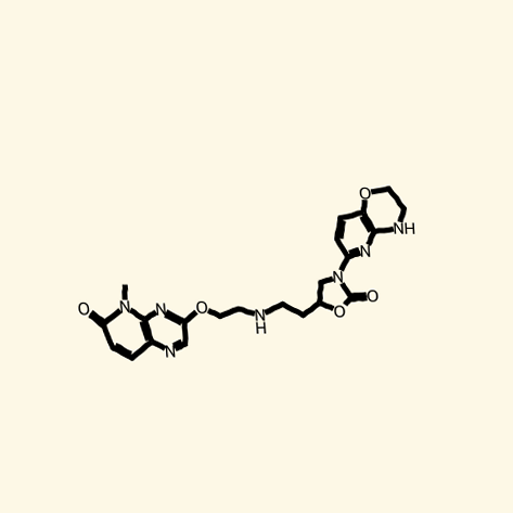 Cn1c(=O)ccc2ncc(OCCNCCC3CN(c4ccc5c(n4)NCCO5)C(=O)O3)nc21